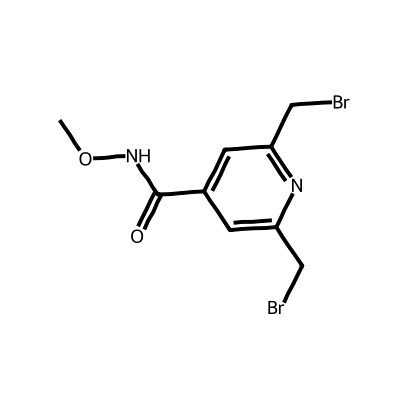 CONC(=O)c1cc(CBr)nc(CBr)c1